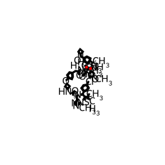 CO[C@@H]1C[C@@H](C(=O)N[C@@H](C)c2ccc(C(=O)N3CCC3)cc2)N(C(=O)[C@@H](NC(=O)Cc2ccc(O[C@H]3C[C@H](NC(=O)C[C@@H]4N=C(c5ccc(Cl)cc5)c5c(sc(C)c5C)-n5c(C)nnc54)C3)cc2)C(C)(C)C)C1